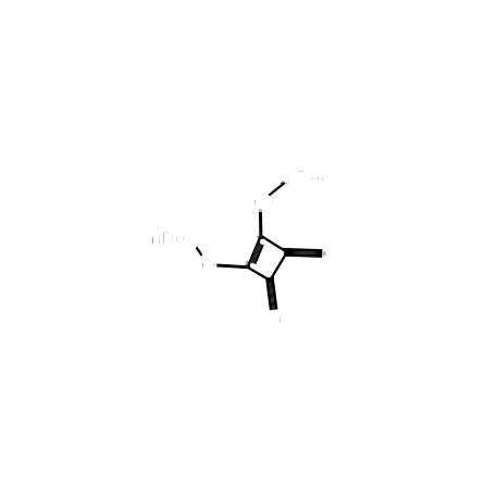 CCCCCCCCCCOc1c(OCCCCCCCCCC)c(=O)c1=O